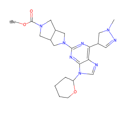 CN1CC(c2nc(N3CC4CN(C(=O)OC(C)(C)C)CC4C3)nc3c2ncn3C2CCCCO2)C=N1